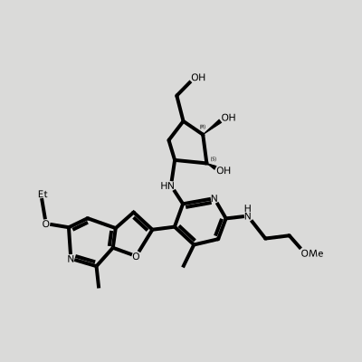 CCOc1cc2cc(-c3c(C)cc(NCCOC)nc3NC3CC(CO)[C@@H](O)[C@H]3O)oc2c(C)n1